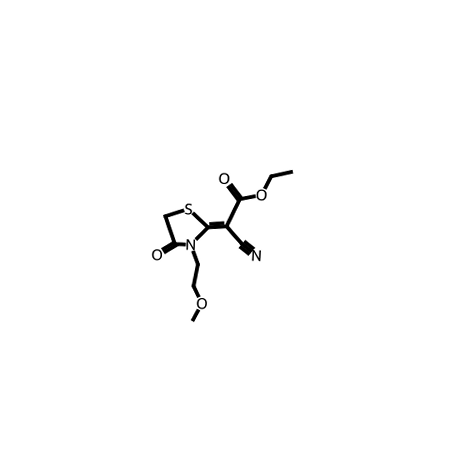 CCOC(=O)/C(C#N)=C1\SCC(=O)N1CCOC